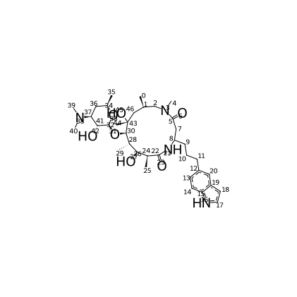 C[C@H]1CN(C)C(=O)CC(CCCc2ccc3[nH]ccc3c2)NC(=O)[C@@H](C)[C@@H](O)[C@H](C)[C@@H](O[C@@H]2O[C@H](C)C[C@H](N(C)C)[C@H]2O)[C@](C)(O)C1